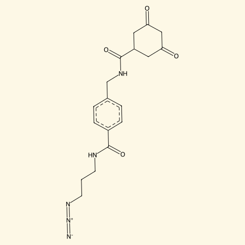 [N-]=[N+]=NCCCNC(=O)c1ccc(CNC(=O)C2CC(=O)CC(=O)C2)cc1